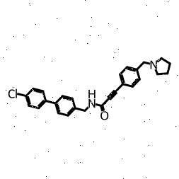 O=C(C#Cc1ccc(CN2CCCC2)cc1)NCc1ccc(-c2ccc(Cl)cc2)cc1